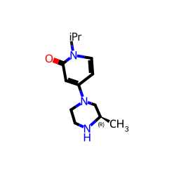 CC(C)n1ccc(N2CCN[C@H](C)C2)cc1=O